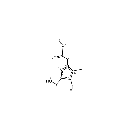 COC(=O)Cn1nc(CO)c(I)c1C